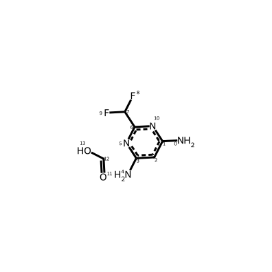 Nc1cc(N)nc(C(F)F)n1.O=CO